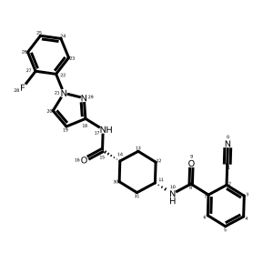 N#Cc1ccccc1C(=O)N[C@H]1CC[C@@H](C(=O)Nc2ccn(-c3ccccc3F)n2)CC1